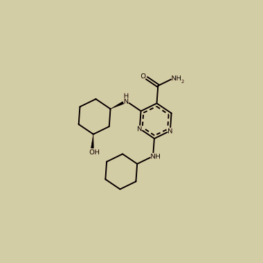 NC(=O)c1cnc(NC2CCCCC2)nc1N[C@@H]1CCC[C@H](O)C1